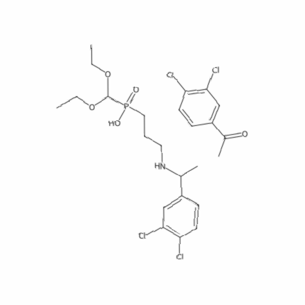 CC(=O)c1ccc(Cl)c(Cl)c1.CCOC(OCC)P(=O)(O)CCCNC(C)c1ccc(Cl)c(Cl)c1